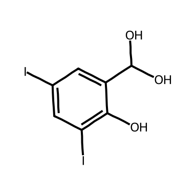 Oc1c(I)cc(I)cc1C(O)O